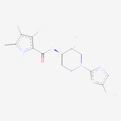 CO[C@@H]1CN(c2ncc(C(=O)O)s2)CC[C@H]1NC(=O)c1[nH]c(C)c(Cl)c1Cl